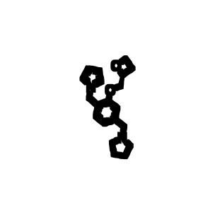 c1ccn(Cc2ccc(CN3CCCC3)cc2OC[C@@H]2CCO2)c1